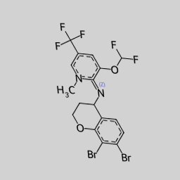 Cn1cc(C(F)(F)F)cc(OC(F)F)/c1=N/C1CCOc2c1ccc(Br)c2Br